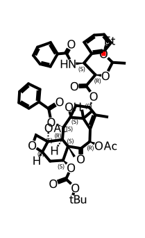 CCOC(C)O[C@@H](C(=O)O[C@H]1C[C@@]2(O)[C@@H](OC(=O)c3ccccc3)[C@@H]3[C@]4(OC(C)=O)CO[C@@H]4C[C@H](OC(=O)OC(C)(C)C)[C@@]3(C)C(=O)[C@H](OC(C)=O)C(=C1C)C2(C)C)[C@@H](NC(=O)c1ccccc1)c1ccccc1